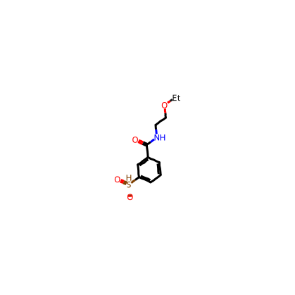 CCOCCNC(=O)c1cccc([SH](=O)=O)c1